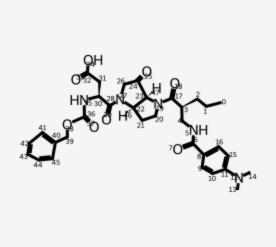 CCC[C@@H](CNC(=O)c1ccc(N(C)C)cc1)C(=O)N1CC[C@@H]2[C@H]1C(=O)CN2C(=O)[C@H](CC(=O)O)NC(=O)OCc1ccccc1